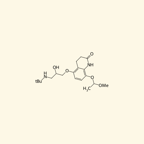 COC(C)Oc1ccc(OCC(O)CNC(C)(C)C)c2c1NC(=O)CC2